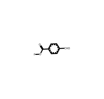 O=Cc1ccc(C(=O)OF)cc1